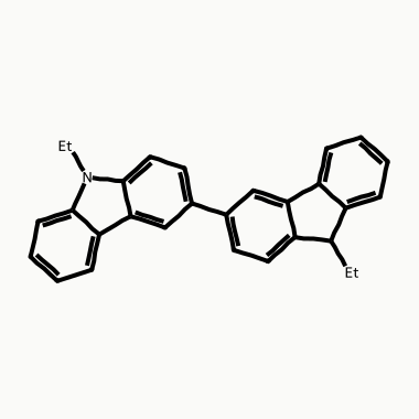 CCC1c2ccccc2-c2cc(-c3ccc4c(c3)c3ccccc3n4CC)ccc21